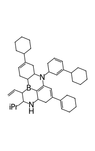 C=CC1B2C3=C(C=C(C4=CCCCC4)CC3NC1C(C)C)N(C1C=C(C3CCCCC3)C=CC1)C1CC(C3CCCCC3)=CCC21